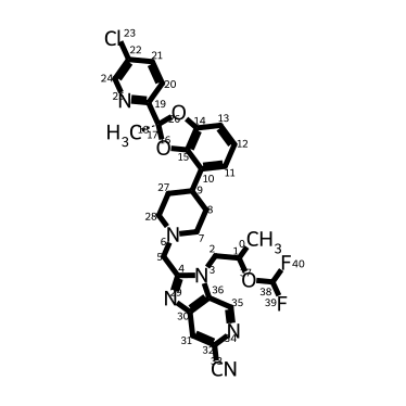 CC(Cn1c(CN2CCC(c3cccc4c3O[C@@](C)(c3ccc(Cl)cn3)O4)CC2)nc2cc(C#N)ncc21)OC(F)F